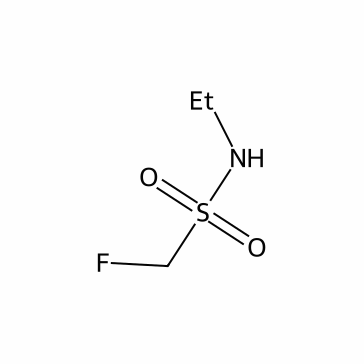 CCNS(=O)(=O)CF